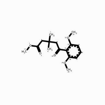 COC(=O)CC(C)(C)CC(=O)c1c(OC)cccc1OC